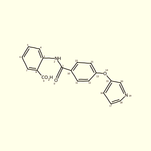 O=C(Nc1ccccc1C(=O)O)c1ccc(Oc2cccnc2)cc1